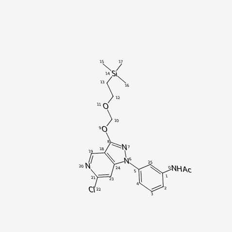 CC(=O)Nc1cccc(-n2nc(OCOCC[Si](C)(C)C)c3cnc(Cl)cc32)c1